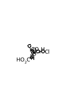 O=C(O)c1cnn(CCN(C2(C(=O)O)CC2c2ccccc2)S(=O)(=O)c2ccc(-c3ccc(Cl)cc3)cc2)c1